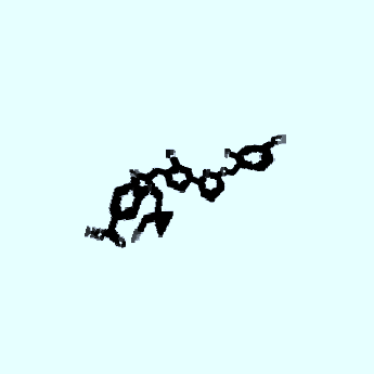 O=C(O)c1ccc2nc(Cc3ccc(-c4cccc(OCc5ccc(Cl)cc5F)n4)cc3F)n(CC3(CF)CC3)c2c1